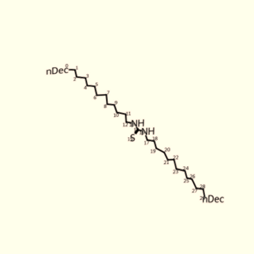 CCCCCCCCCCCCCCCCCCCCCCNC(=S)NCCCCCCCCCCCCCCCCCCCCCC